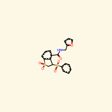 O=C(NCc1ccco1)c1cccc2c1C(S(=O)(=O)c1ccccc1)CS2(=O)=O